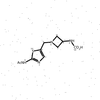 CC(=O)Nc1ncc(CN2CC(NC(=O)O)C2)s1